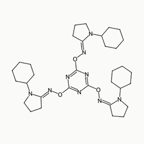 C1CCC(N2CCC/C2=N/Oc2nc(O/N=C3\CCCN3C3CCCCC3)nc(O/N=C3\CCCN3C3CCCCC3)n2)CC1